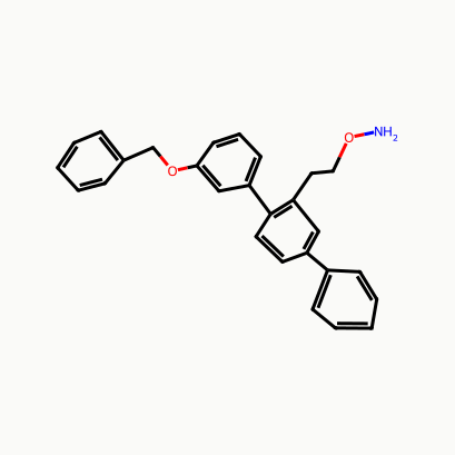 NOCCc1cc(-c2ccccc2)ccc1-c1cccc(OCc2ccccc2)c1